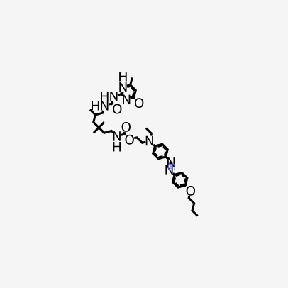 CCCCOc1ccc(/N=N/c2ccc(N(CC)CCOC(=O)NCCC(C)(C)CC(C)CNC(=O)Nc3nc(=O)cc(C)[nH]3)cc2)cc1